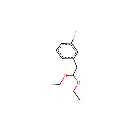 CCOC(Cc1cccc(F)c1)OCC